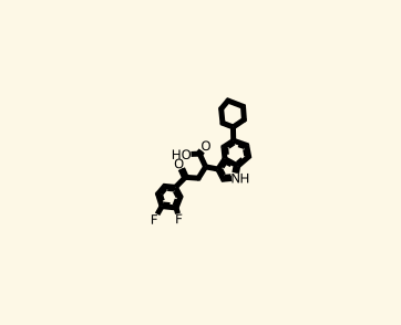 O=C(CC(C(=O)O)c1c[nH]c2ccc(C3CCCCC3)cc12)c1ccc(F)c(F)c1